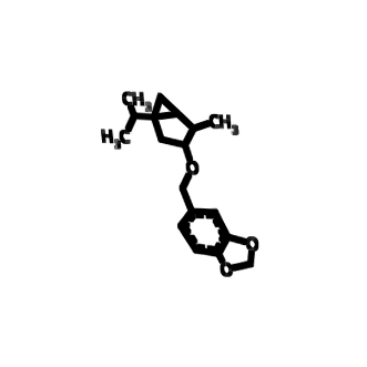 CC1C(OCc2ccc3c(c2)OCO3)CC2(C(C)C)CC12